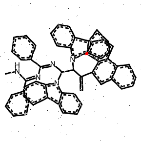 C=C(c1cc2ccccc2c2ccccc12)C(C(N=C(/N=C(\NC)c1ccccc1)c1ccccc1)n1c2ccccc2c2ccccc21)n1c2ccccc2c2ccccc21